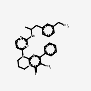 CC(Cc1cccc(CN)c1)Nc1nccc(N2CCCn3c2nc(-c2ccccc2)c(N)c3=O)n1